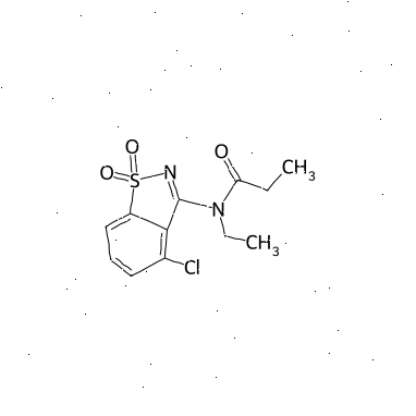 CCC(=O)N(CC)C1=NS(=O)(=O)c2cccc(Cl)c21